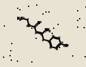 CCOC(=O)/C=C(\N)Cc1ccc(Br)cc1